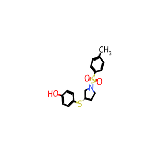 Cc1ccc(S(=O)(=O)N2CC[C@H](Sc3ccc(O)cc3)C2)cc1